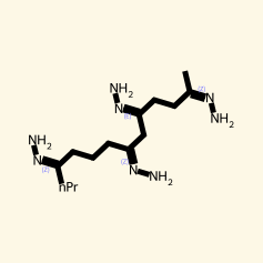 CCC/C(CCC/C(C/C(CC/C(C)=N\N)=N/N)=N/N)=N/N